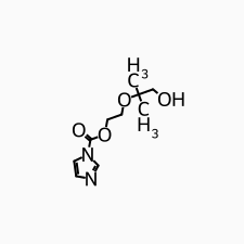 CC(C)(CO)OCCOC(=O)n1ccnc1